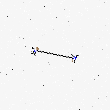 CCC[N+](CCC)(CCC)C(Br)CCCCCCCCCCCCCCCCCCCCCCC(Br)[N+](CCC)(CCC)CCC